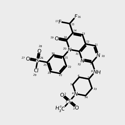 CS(=O)(=O)N1CCC(Nc2ncc3cc(C(F)F)c(=O)n(-c4cccc(S(=O)(=O)Cl)c4)c3n2)CC1